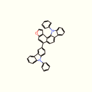 c1ccc(-n2c3ccccc3c3cc(-c4cc5occc5c5c4ccc4c6ccccc6n(-c6ccccc6)c45)ccc32)cc1